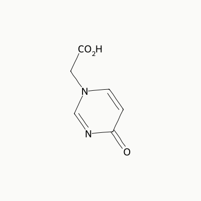 O=C(O)Cn1ccc(=O)nc1